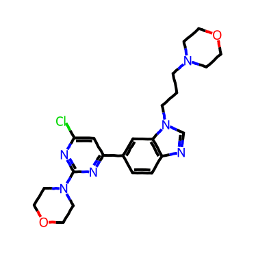 Clc1cc(-c2ccc3ncn(CCCN4CCOCC4)c3c2)nc(N2CCOCC2)n1